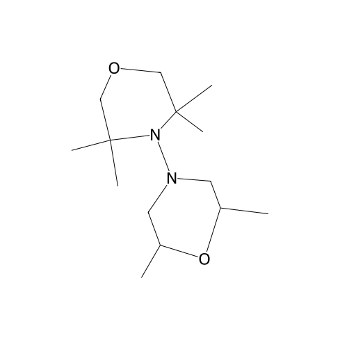 CC1CN(N2C(C)(C)COCC2(C)C)CC(C)O1